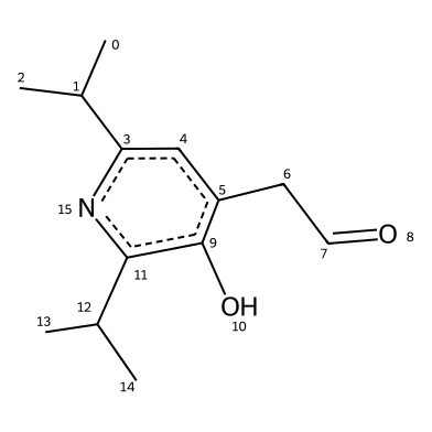 CC(C)c1cc(CC=O)c(O)c(C(C)C)n1